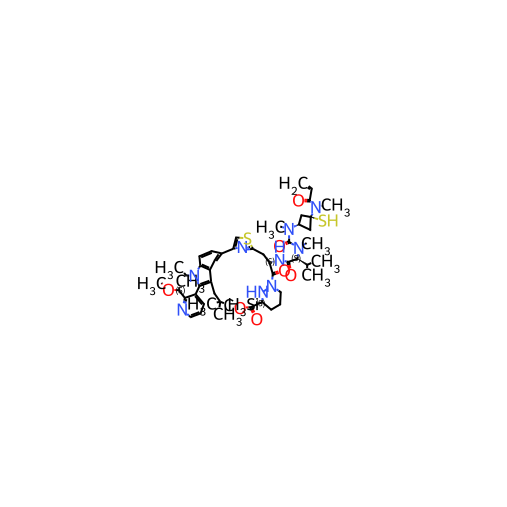 C=CC(=O)N(C)[C@]1(S)C[C@@H](N(C)C(=O)N(C)[C@H](C(=O)N[C@H]2Cc3nc(cs3)-c3ccc4c(c3)c(c(-c3cccnc3[C@H](C)OC)n4CC)CC(C)(C)COC(=O)[C@@]3([SiH3])CCCN(N3)C2=O)C(C)C)C1